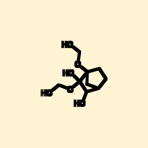 OCOC12CCC(C1)C(O)C2(O)OCO